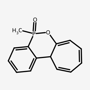 CP1(=O)OC2=CC=CC=CC2c2ccccc21